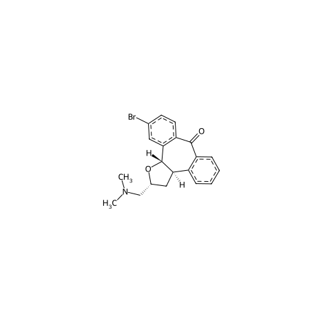 CN(C)C[C@H]1C[C@@H]2c3ccccc3C(=O)c3ccc(Br)cc3[C@H]2O1